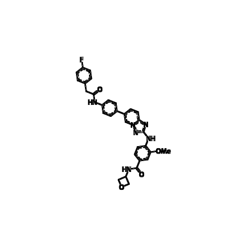 COc1cc(C(=O)NC2COC2)ccc1Nc1nc2ccc(-c3ccc(NC(=O)Cc4ccc(F)cc4)cc3)cn2n1